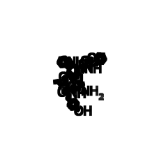 CC[C@H](C)[C@H](NC(=O)C(Cc1ccc(O)cc1)NC(=O)[C@@H](CN)C(C)C)C(=O)N[C@H]1Cc2c([nH]c3ccccc23)CN(CC(=O)N[C@@H](Cc2ccccc2)C(=O)O)C1=O